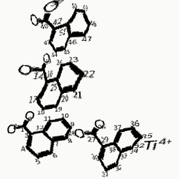 O=C([O-])c1cccc2ccccc12.O=C([O-])c1cccc2ccccc12.O=C([O-])c1cccc2ccccc12.O=C([O-])c1cccc2ccccc12.[Ti+4]